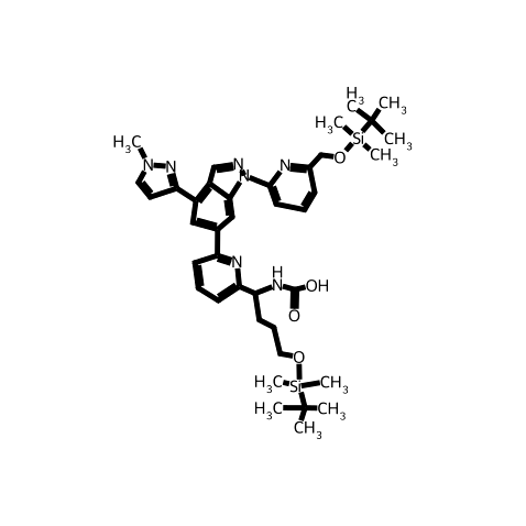 Cn1ccc(-c2cc(-c3cccc(C(CCCO[Si](C)(C)C(C)(C)C)NC(=O)O)n3)cc3c2cnn3-c2cccc(CO[Si](C)(C)C(C)(C)C)n2)n1